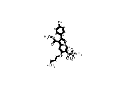 CCCCOc1cc2c(C(=O)OC)c(-c3ccc(F)cc3)nn2cc1N(C)S(C)(=O)=O